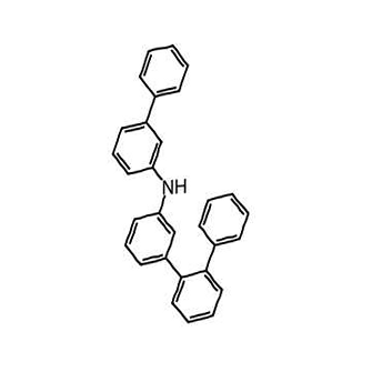 c1ccc(-c2cccc(Nc3cccc(-c4ccccc4-c4ccccc4)c3)c2)cc1